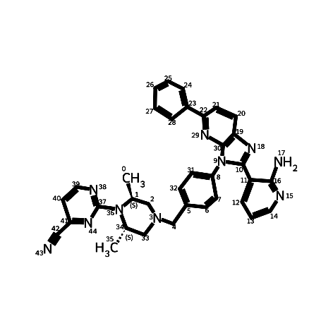 C[C@H]1CN(Cc2ccc(-n3c(-c4cccnc4N)nc4ccc(-c5ccccc5)nc43)cc2)C[C@H](C)N1c1nccc(C#N)n1